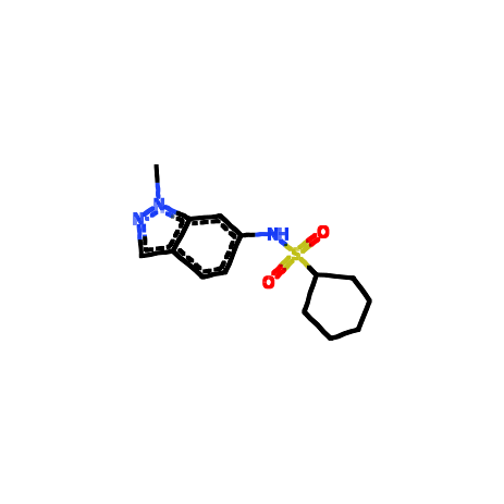 Cn1ncc2ccc(NS(=O)(=O)C3CCCCC3)cc21